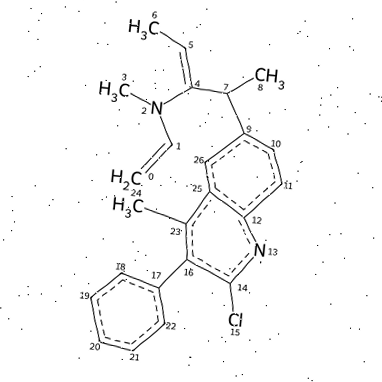 C=CN(C)/C(=C\C)C(C)c1ccc2nc(Cl)c(-c3ccccc3)c(C)c2c1